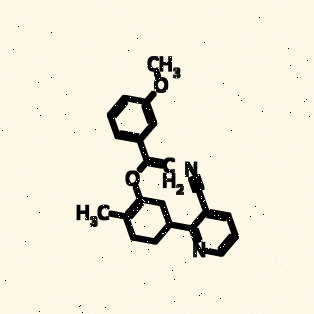 C=C(OC1=C(C)CCC(c2ncccc2C#N)C1)c1cccc(OC)c1